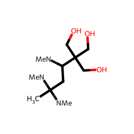 CNC(CC(C)(NC)NC)C(CO)(CO)CO